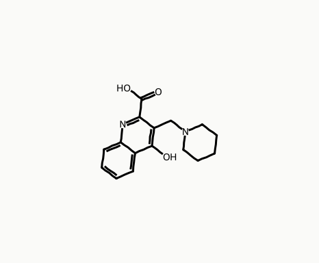 O=C(O)c1nc2ccccc2c(O)c1CN1CCCCC1